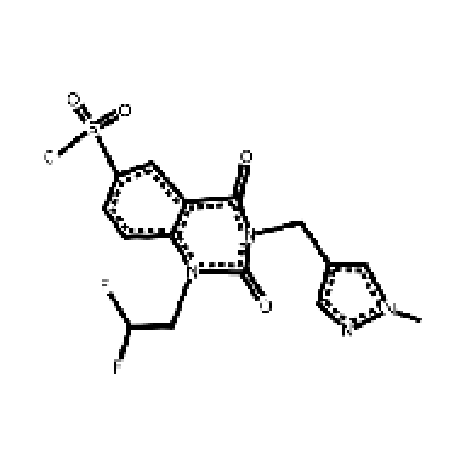 Cn1cc(Cn2c(=O)c3cc(S(=O)(=O)Cl)ccc3n(CC(F)F)c2=O)cn1